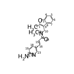 Cc1oc2ccccc2c1CN(C)C(=O)C=Cc1ccc(N)nc1